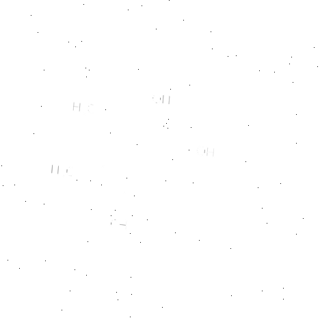 Cc1c(C)c(O)c(O)c(C2CCCCC2)c1C